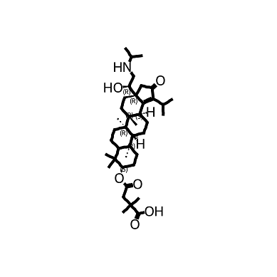 CC(C)NC[C@H](O)[C@@]12CC[C@]3(C)[C@H](CC[C@@H]4[C@@]5(C)CC[C@H](OC(=O)CC(C)(C)C(=O)O)C(C)(C)C5CC[C@]43C)C1=C(C(C)C)C(=O)C2